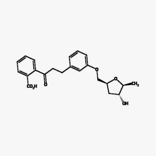 C[C@@H]1O[C@H](COc2cccc(CCC(=O)c3ccccc3C(=O)O)c2)C[C@H]1O